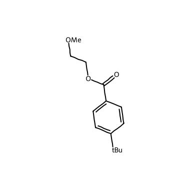 COCCOC(=O)c1ccc(C(C)(C)C)cc1